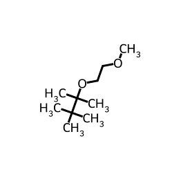 COCCOC(C)(C)C(C)(C)C